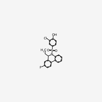 CCC1c2cc(F)ccc2-c2ccccc2N1S(=O)(=O)c1ccc(O)c(Cl)c1